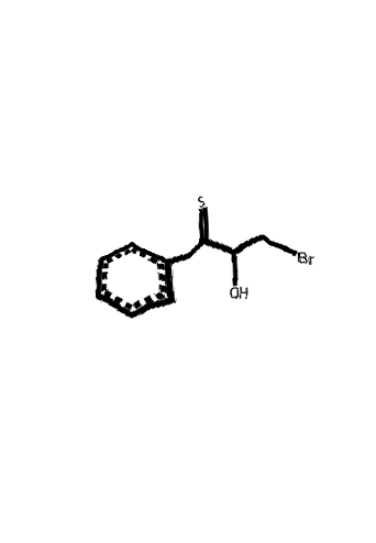 OC(CBr)C(=S)c1ccccc1